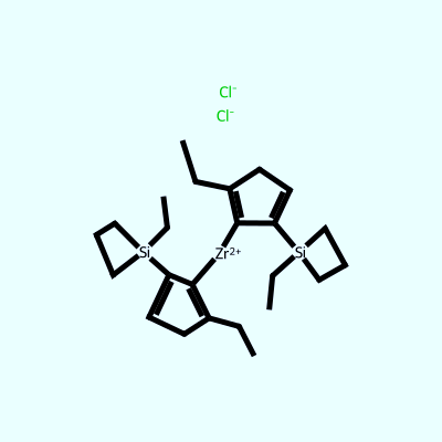 CCC1=[C]([Zr+2][C]2=C(CC)CC=C2[Si]2(CC)CCC2)C([Si]2(CC)CCC2)=CC1.[Cl-].[Cl-]